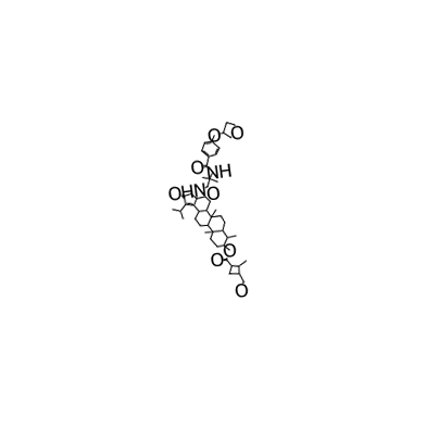 CC(C)C1=C2C3CCC4C(C)(CCC5C(C)C(OC(=O)C6CC(C=O)C6C)CCC54C)C3CCC2(NC(=O)C(C)(C)NC(=O)c2ccc(OC3CCOC3)cc2)CC1=O